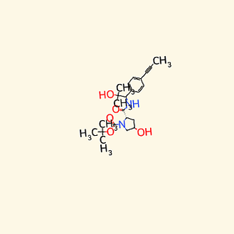 CC#Cc1ccc([C@@H](NC(=O)[C@@H]2C[C@@H](O)CN2C(=O)OC(C)(C)C)C(C)(C)O)cc1